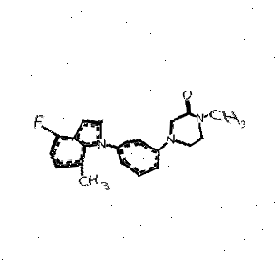 Cc1ccc(F)c2ccn(-c3cccc(N4CCN(C)C(=O)C4)c3)c12